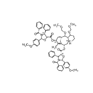 COCOC1CCC[C@@H]2CC(OC(=O)[C@@H]3OC(c4ccc(OC)cc4)N(C(=O)c4ccccc4)C3c3ccccc3)C3=C(C)[C@@H](OC(=O)C4OC(c5ccc(OC)cc5)N(C(=O)c5ccccc5)[C@H]4c4ccccc4)CC(C3)C(OCOC)C12